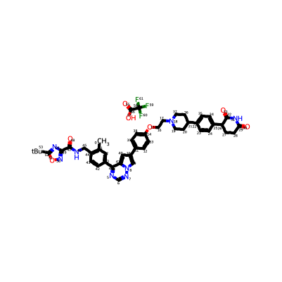 Cc1cc(-c2ncnn3cc(-c4ccc(OCCN5CCC(c6ccc(C7CCC(=O)NC7=O)cc6)CC5)cc4)cc23)ccc1CNC(=O)c1noc(C(C)(C)C)n1.O=C(O)C(F)(F)F